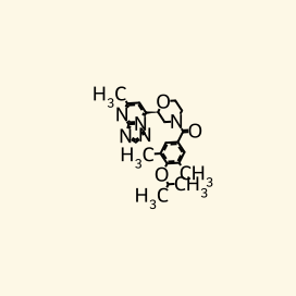 Cc1cc([C@@H]2CN(C(=O)c3cc(C)c(OC(C)C)c(C)c3)CCO2)n2ncnc2n1